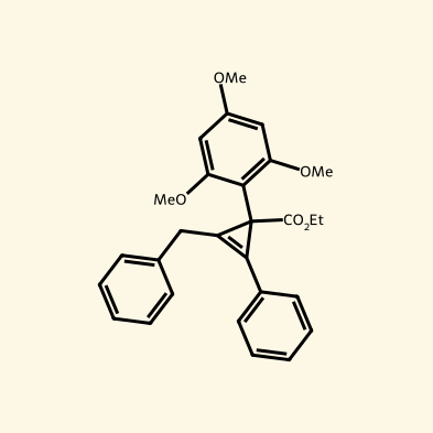 CCOC(=O)C1(c2c(OC)cc(OC)cc2OC)C(Cc2ccccc2)=C1c1ccccc1